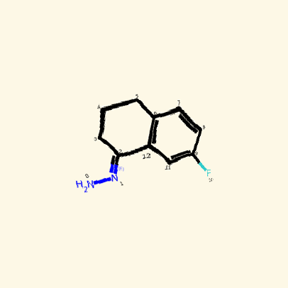 N/N=C1\CCCc2ccc(F)cc21